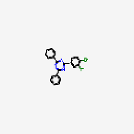 Fc1cc(-c2nc(-c3ccccc3)nc(-c3ccccc3)n2)ccc1Br